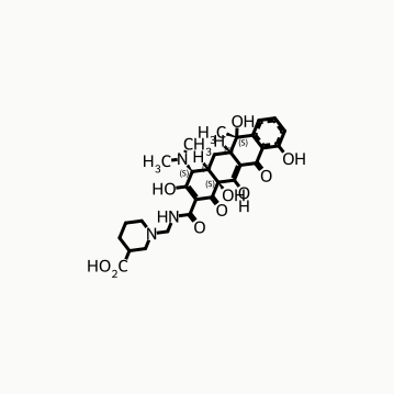 CN(C)[C@@H]1C(O)=C(C(=O)NCN2CCCC(C(=O)O)C2)C(=O)[C@@]2(O)C(O)=C3C(=O)c4c(O)cccc4[C@@](C)(O)[C@H]3C[C@@H]12